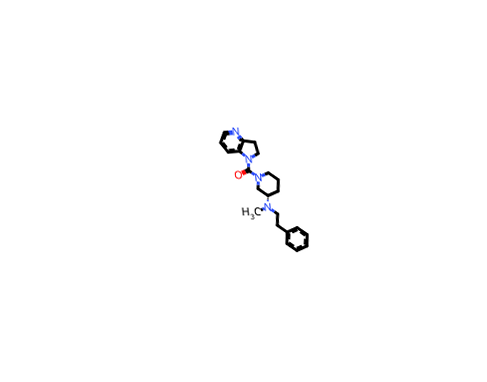 CN(CCc1ccccc1)[C@H]1CCCN(C(=O)N2CCc3ncccc32)C1